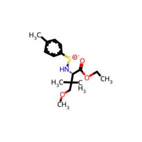 CCOC(=O)[C@@H](N[S@@+]([O-])c1ccc(C)cc1)C(C)(C)COC